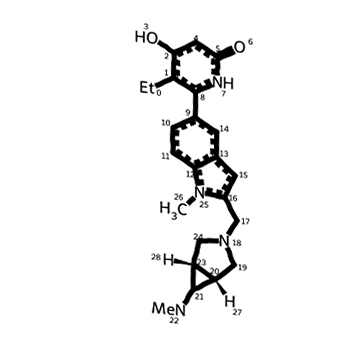 CCc1c(O)cc(=O)[nH]c1-c1ccc2c(c1)cc(CN1C[C@@H]3C(NC)[C@@H]3C1)n2C